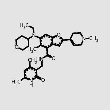 CCN(c1cc2oc(C3=CCN(C)CC3)cc2c(C(=O)NCc2c(C)cc(C)[nH]c2=O)c1C)C1CCOCC1